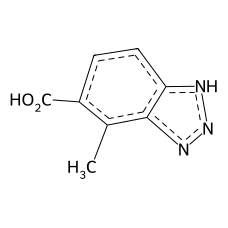 Cc1c(C(=O)O)ccc2[nH]nnc12